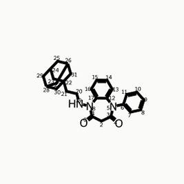 O=C1CC(=O)N(c2ccccc2)c2ccccc2N1NCCC12CC3CC(CC(C3)C1)C2